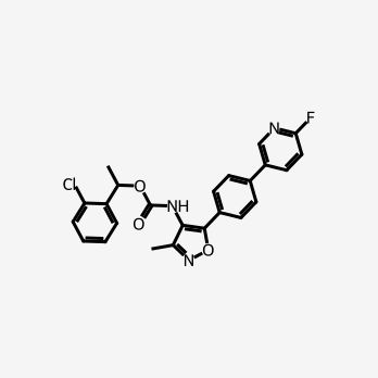 Cc1noc(-c2ccc(-c3ccc(F)nc3)cc2)c1NC(=O)OC(C)c1ccccc1Cl